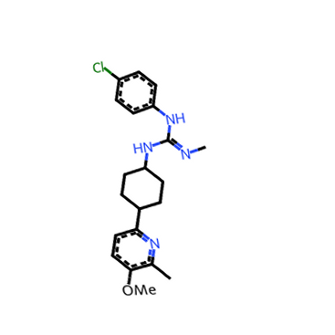 C/N=C(\Nc1ccc(Cl)cc1)NC1CCC(c2ccc(OC)c(C)n2)CC1